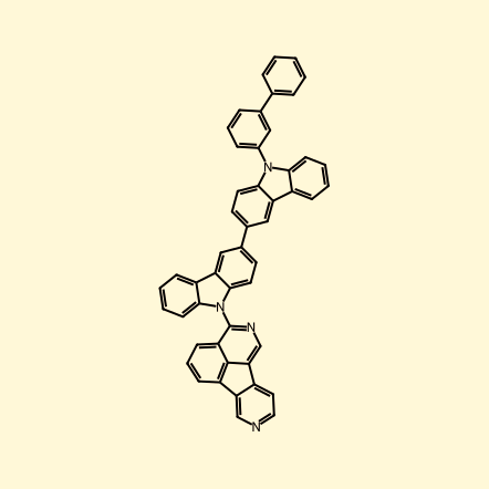 c1ccc(-c2cccc(-n3c4ccccc4c4cc(-c5ccc6c(c5)c5ccccc5n6-c5ncc6c7c(cccc57)-c5cnccc5-6)ccc43)c2)cc1